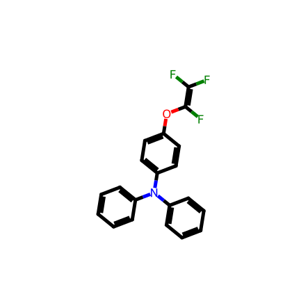 FC(F)=C(F)Oc1ccc(N(c2ccccc2)c2ccccc2)cc1